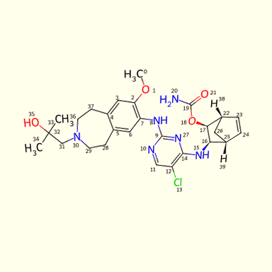 COc1cc2c(cc1Nc1ncc(Cl)c(N[C@H]3[C@@H](OC(N)=O)[C@@H]4C=C[C@H]3C4)n1)CCN(CC(C)(C)O)CC2